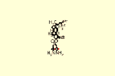 CC[C@H](CC[C@@H](C)[C@H]1CC[C@H]2[C@@H]3CC=C4C[C@@H](OC(=O)N(CC56CC(N)(C5)C6)CC56CC(N)(C5)C6)CC[C@]4(C)[C@H]3CC[C@]12C)C(C)C.Cl.Cl